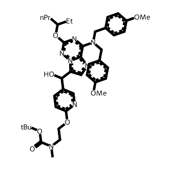 CCCC(CC)Oc1nc(N(Cc2ccc(OC)cc2)Cc2ccc(OC)cc2)c2ncc(C(O)c3ccc(OCCN(C)C(=O)OC(C)(C)C)nc3)n2n1